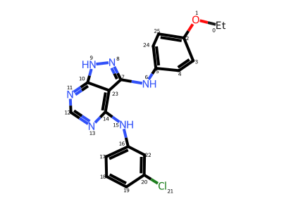 CCOc1ccc(Nc2n[nH]c3ncnc(Nc4cccc(Cl)c4)c23)cc1